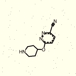 N#Cc1ccc(OC2CCNCC2)nn1